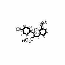 CCOc1cccc(CC(C(=O)O)C(O)c2ccc(Cl)cc2)c1